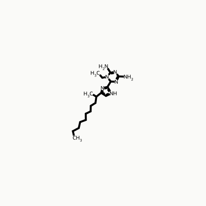 CCCCCCCCCC(C)c1c[nH]c(C2N=C(N)N=C(N)N2CC)n1